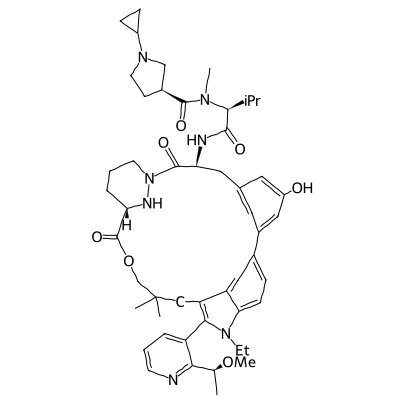 CCn1c(-c2cccnc2[C@H](C)OC)c2c3cc(ccc31)-c1cc(O)cc(c1)C[C@H](NC(=O)[C@H](C(C)C)N(C)C(=O)[C@H]1CCN(C3CC3)C1)C(=O)N1CCC[C@H](N1)C(=O)OCC(C)(C)C2